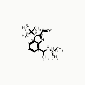 CC(O[SiH](C)C)c1cccc2c1nc(C=O)n2C(C)(C)C